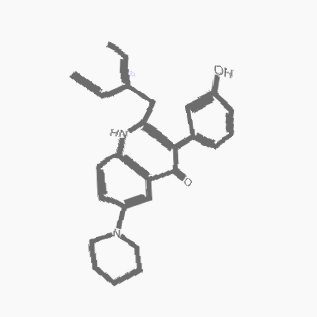 C=C/C(=C\C)Cc1[nH]c2ccc(N3CCCCC3)cc2c(=O)c1-c1cccc(O)c1